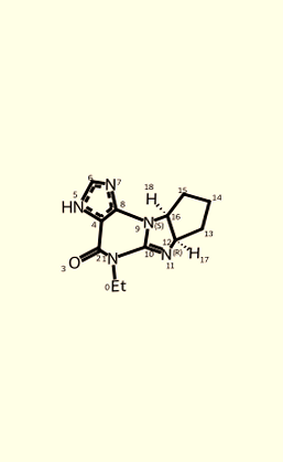 CCN1C(=O)c2[nH]cnc2N2C1=N[C@@H]1CCC[C@@H]12